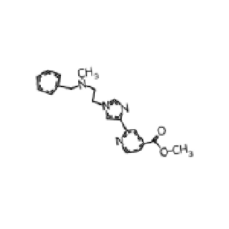 COC(=O)c1ccnc(-c2cn(CCN(C)Cc3ccccc3)cn2)c1